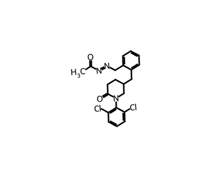 CC(=O)N=NCc1ccccc1CC1CCC(=O)N(c2c(Cl)cccc2Cl)C1